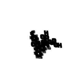 CCc1ccc(NC(=O)N(CC2CCCCC2)c2cccc(-c3sc(C(=O)O)c(OCC(=O)O)c3C)c2)cc1